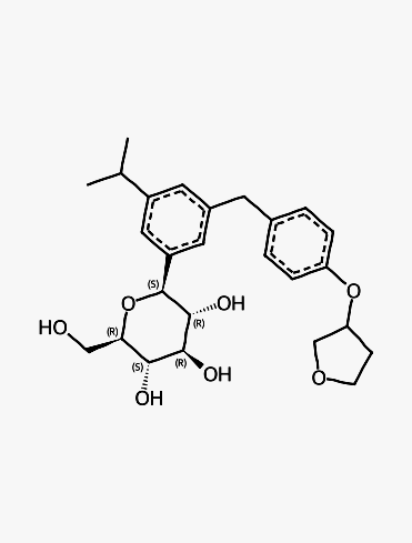 CC(C)c1cc(Cc2ccc(OC3CCOC3)cc2)cc([C@@H]2O[C@H](CO)[C@@H](O)[C@H](O)[C@H]2O)c1